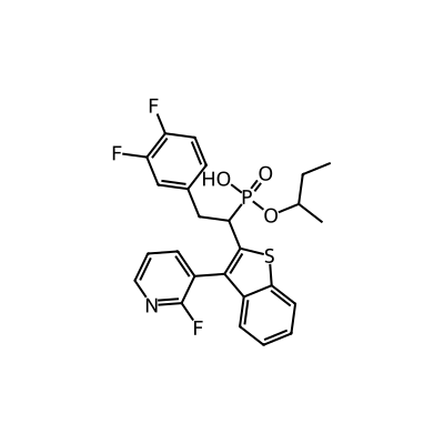 CCC(C)OP(=O)(O)C(Cc1ccc(F)c(F)c1)c1sc2ccccc2c1-c1cccnc1F